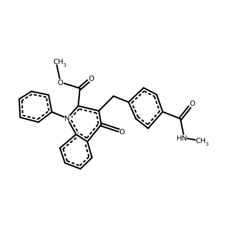 CNC(=O)c1ccc(Cc2c(C(=O)OC)n(-c3ccccc3)c3ccccc3c2=O)cc1